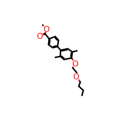 CCCCOCCOc1cc(C)c(-c2ccc(C(=O)OC)cc2)cc1C